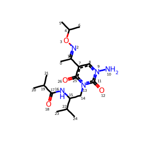 C/C(=N\OC(C)C)c1cn(N)c(=O)n(CC(NC(=O)C(C)C)C(C)C)c1=O